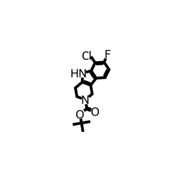 CC(C)(C)OC(=O)N1CCc2[nH]c3c(Cl)c(F)ccc3c2C1